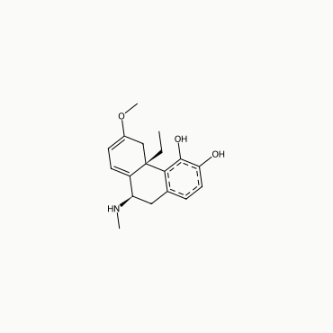 CC[C@]12CC(OC)=CC=C1[C@H](NC)Cc1ccc(O)c(O)c12